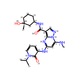 CNc1cc(Nc2cccn(C(C)C)c2=O)nc2c(C(=O)NC3CCC[C@@](C)(O)C3)cnn12